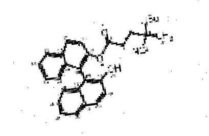 CC(C)(C)C(C)(C#N)CCC(=O)Oc1ccc2ccccc2c1-c1c(O)ccc2ccccc12